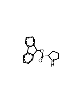 O=C(OC1c2ccccc2-c2ccccc21)[C@@H]1CCCN1